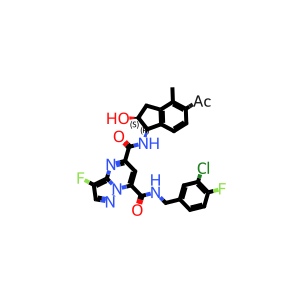 CC(=O)c1ccc2c(c1C)C[C@H](O)[C@@H]2NC(=O)c1cc(C(=O)NCc2ccc(F)c(Cl)c2)n2ncc(F)c2n1